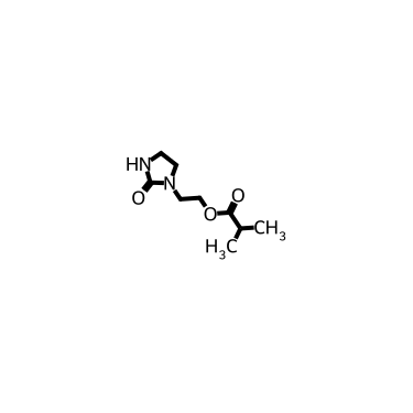 CC(C)C(=O)OCCN1CCNC1=O